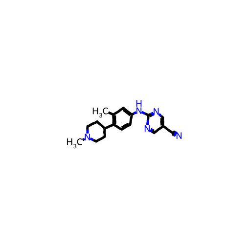 Cc1cc(Nc2ncc(C#N)cn2)ccc1C1CCN(C)CC1